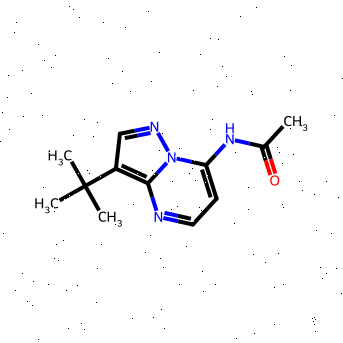 CC(=O)Nc1ccnc2c(C(C)(C)C)cnn12